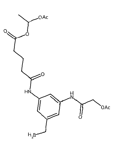 BCc1cc(NC(=O)CCCC(=O)OC(C)OC(C)=O)cc(NC(=O)COC(C)=O)c1